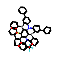 FC(F)(F)c1ccccc1N1c2ccccc2B2c3cc(-c4ccccc4)ccc3N3c4ccc(-c5ccccc5)cc4B4c5ccccc5Sc5c4c3c2c1c5-c1c(-c2ccccc2)cccc1-c1ccccc1